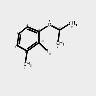 Cc1cccc(OC(C)C)c1I